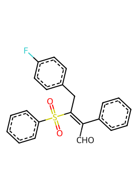 O=CC(=C(Cc1ccc(F)cc1)S(=O)(=O)c1ccccc1)c1ccccc1